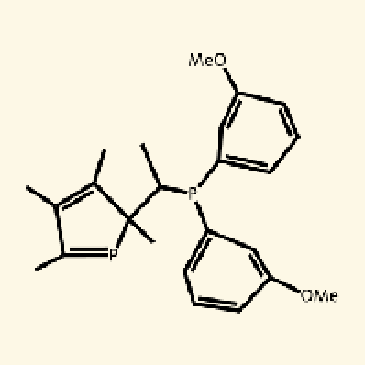 COc1cccc(P(c2cccc(OC)c2)C(C)C2(C)P=C(C)C(C)=C2C)c1